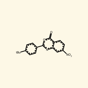 CC(C)(C)c1ccc(-c2nc3cc([N+](=O)[O-])ccc3c(=O)o2)cc1